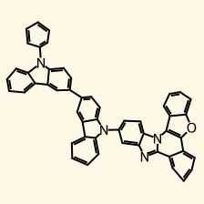 c1ccc(-n2c3ccccc3c3cc(-c4ccc5c(c4)c4ccccc4n5-c4ccc5c(c4)nc4c6ccccc6c6oc7ccccc7c6n54)ccc32)cc1